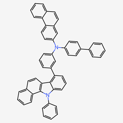 c1ccc(-c2ccc(N(c3cccc(-c4cccc5c4c4ccc6ccccc6c4n5-c4ccccc4)c3)c3ccc4c(ccc5ccccc54)c3)cc2)cc1